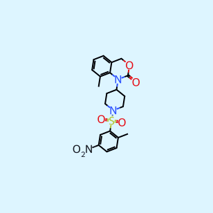 Cc1ccc([N+](=O)[O-])cc1S(=O)(=O)N1CCC(N2C(=O)OCc3cccc(C)c32)CC1